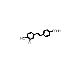 O=C(O)c1ccc(C=Cc2ccc(O)c(Cl)c2)cc1